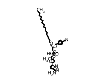 CCCCCCCCCCCCCCCCCCOC[C@H](COP(=O)(O)OC[C@]1(C)CC[C@H](c2ccc3c(N)ncnn23)O1)OCc1ccc(C#N)cc1